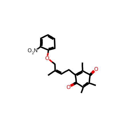 CC1=C(C)C(=O)C(C/C=C(/C)COc2ccccc2[N+](=O)[O-])=C(C)C1=O